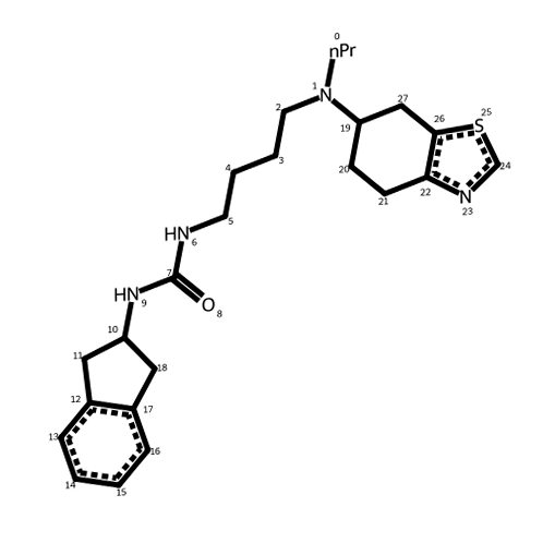 CCCN(CCCCNC(=O)NC1Cc2ccccc2C1)C1CCc2ncsc2C1